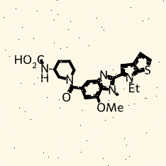 CCn1c(-c2nc3cc(C(=O)N4CCC[C@@H](NC(=O)O)C4)cc(OC)c3n2C)cc2ccsc21